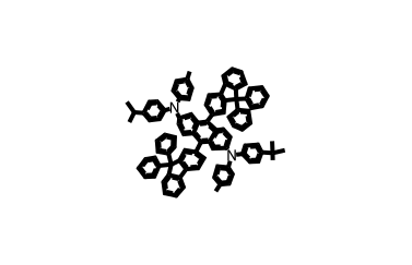 Cc1ccc(N(c2ccc(C(C)C)cc2)c2ccc3c(-c4ccc5c(c4)C(c4ccccc4)(c4ccccc4)c4ccccc4-5)c4cc(N(c5ccc(C)cc5)c5ccc(C(C)(C)C)cc5)ccc4c(-c4ccc5c(c4)C(c4ccccc4)(c4ccccc4)c4ccccc4-5)c3c2)cc1